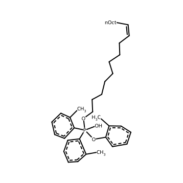 CCCCCCCC/C=C\CCCCCCCCOP(O)(Oc1ccccc1C)(c1ccccc1C)c1ccccc1C